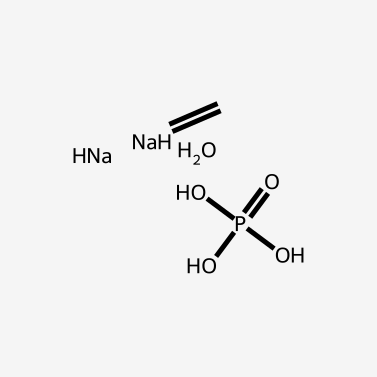 C=C.O.O=P(O)(O)O.[NaH].[NaH]